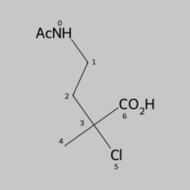 CC(=O)NCCC(C)(Cl)C(=O)O